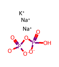 O=P([O-])([O-])OP(=O)([O-])O.[K+].[Na+].[Na+]